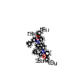 CC(C)(C)c1cc(C(C)(C)C)c2oc3c(N(c4cccc(-c5ccccc5)c4)c4ccc5ccc6c(N(c7cccc(-c8ccccc8)c7)c7cccc8c7oc7c(C(C)(C)C)cc(C(C)(C)C)cc78)ccc7ccc4c5c76)cccc3c2c1